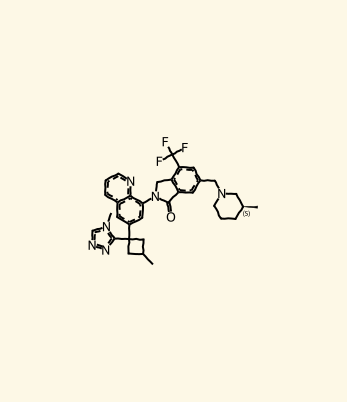 CC1CC(c2cc(N3Cc4c(cc(CN5CCC[C@H](C)C5)cc4C(F)(F)F)C3=O)c3ncccc3c2)(c2nncn2C)C1